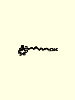 CCCCCCCCCCCCCCCCCCOP1(=O)OSSSO1